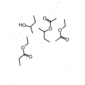 CCC(C)O.CCC(C)OC(C)=O.CCOC(=O)CC.CCOC(C)=O